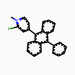 C[n+]1ccc(-c2c3ccccc3c(-c3ccccc3)c3ccccc23)cc1F